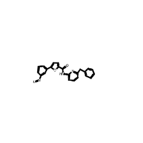 O=Nc1cccc(-c2ccc(C(=O)Nc3cccc(Cc4ccccc4)n3)o2)c1